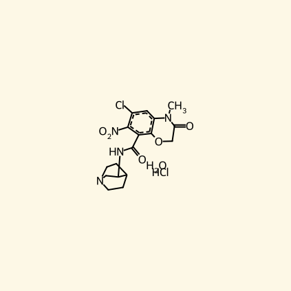 CN1C(=O)COc2c1cc(Cl)c([N+](=O)[O-])c2C(=O)NC1CN2CCC1CC2.Cl.O